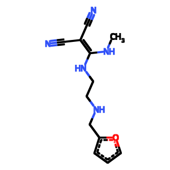 CNC(NCCNCc1ccco1)=C(C#N)C#N